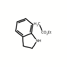 CCOC(C)=O.c1ccc2c(c1)CCN2